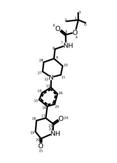 CC(C)(C)OC(=O)NCC1CCN(c2ccc(C3CCC(=O)NC3=O)cc2)CC1